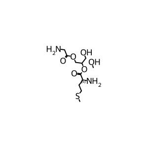 CO.CSCC[C@H](N)C(=O)OC(CO)COC(=O)CN